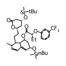 CCCC[Si](C)(C)OC1C=C2C=CC(C)C(CC[C@@H]3C[C@@H](O[Si](C)(C)C(C)(C)C)CC(=O)O3)C2C(OC(=O)[C@H](CC)Oc2cccc(C(F)(F)F)c2)C1